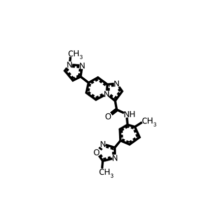 Cc1nc(-c2ccc(C)c(NC(=O)c3cnc4cc(-c5ccn(C)n5)ccn34)c2)no1